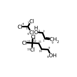 C=CCO.ClC(Cl)Cl.OCCCC(Cl)(Cl)Cl